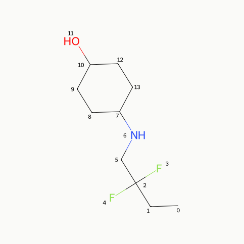 CCC(F)(F)CNC1CCC(O)CC1